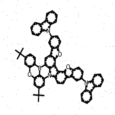 CC(C)(C)c1ccc2c(c1)Oc1cc(C(C)(C)C)cc3c1B2c1cc2c4cc(-n5c6ccccc6c6ccccc65)ccc4oc2c2c4c5oc6ccc(-n7c8ccccc8c8ccccc87)cc6c5ccc4n-3c12